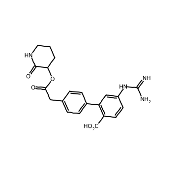 N=C(N)Nc1ccc(C(=O)O)c(-c2ccc(CC(=O)OC3CCCNC3=O)cc2)c1